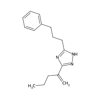 C=C(CCC)c1n[nH]c(CCCc2ccccc2)n1